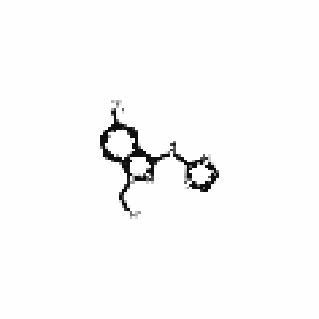 CC(C)Cn1nc(Nc2nccs2)c2cc(C(F)(F)F)ccc21